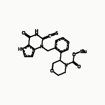 CC(C)(C)OC(=O)N1CCOCC1c1ccccc1CN1C(=C=S)NC(=O)c2[nH]ccc21